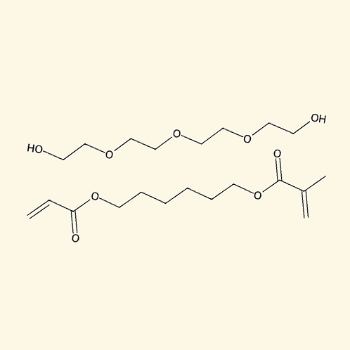 C=CC(=O)OCCCCCCOC(=O)C(=C)C.OCCOCCOCCOCCO